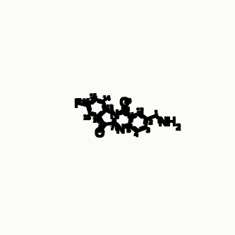 NCc1ccc2nc3n(c(=O)c2c1)-c1ccc(F)cc1C3=O